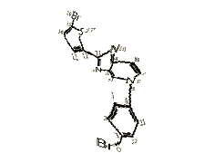 Brc1ccc(Cn2ccc3nc(-c4ccc(Br)s4)nc-3c2)cc1